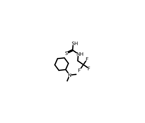 CN(C)C1CCCCC1.FC(F)(F)CNC(=S)S